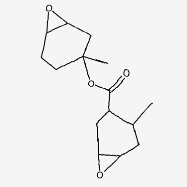 CC1CC2OC2CC1C(=O)OC1(C)CCC2OC2C1